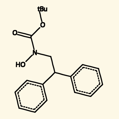 CC(C)(C)OC(=O)N(O)CC(c1ccccc1)c1ccccc1